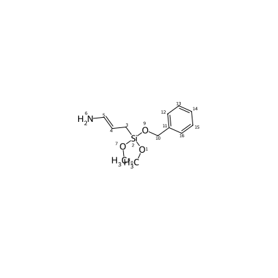 CO[Si](CC=CN)(OC)OCc1ccccc1